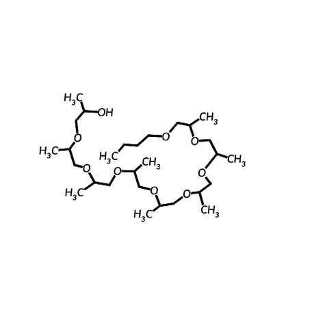 CCCCOCC(C)OCC(C)OCC(C)OCC(C)OCC(C)OCC(C)OCC(C)OCC(C)O